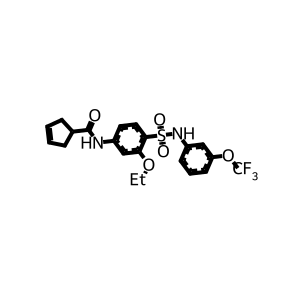 CCOc1cc(NC(=O)C2CC=CC2)ccc1S(=O)(=O)Nc1cccc(OC(F)(F)F)c1